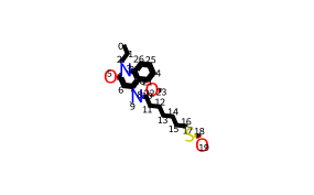 CCCn1c(=O)cc(N(C)CCCCCCCSC=O)c2c(OC)cccc21